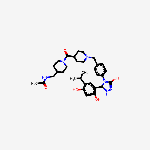 CC(=O)NCC1CCN(C(=O)C2CCN(Cc3ccc(N4C(O)=NNC4c4cc(C(C)C)c(O)cc4O)cc3)CC2)CC1